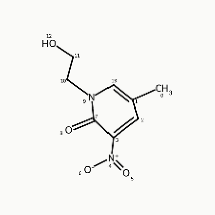 Cc1cc([N+](=O)[O-])c(=O)n(CCO)c1